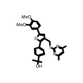 COc1ccc(-c2cc(CSc3nc(C)cc(C)n3)c(-c3ccc(C(C)(C)O)cc3)o2)cc1OC